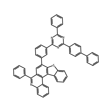 c1ccc(-c2ccc(-c3nc(-c4ccccc4)nc(-c4cccc(-c5cc6c(-c7ccccc7)nc7ccccc7c6c6c5sc5ccccc56)c4)n3)cc2)cc1